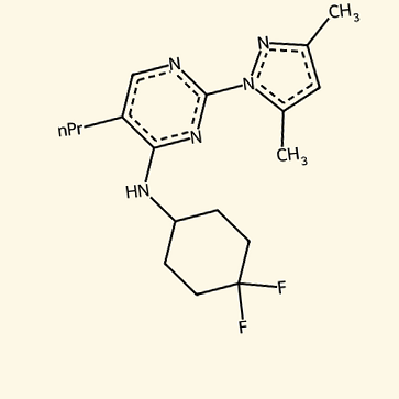 CCCc1cnc(-n2nc(C)cc2C)nc1NC1CCC(F)(F)CC1